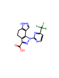 O=C(O)c1nn(-c2nccc(C(F)(F)F)n2)c2c1CCc1[nH]ncc1-2